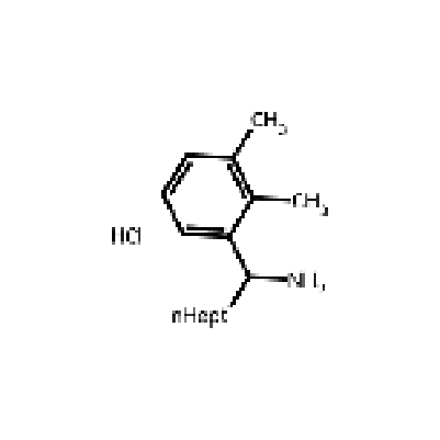 CCCCCCCC(N)c1cccc(C)c1C.Cl